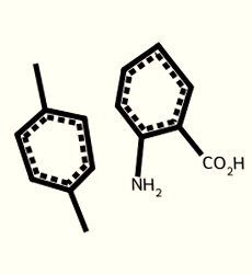 Cc1ccc(C)cc1.Nc1ccccc1C(=O)O